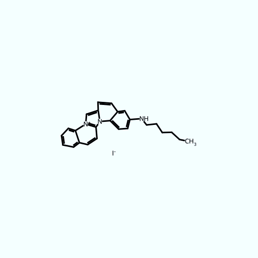 CCCCCCNc1ccc2c(ccc3c[n+]4c5ccccc5ccc4n32)c1.[I-]